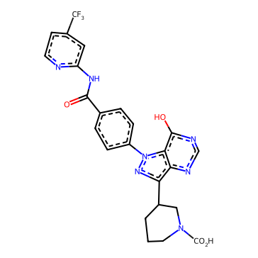 O=C(Nc1cc(C(F)(F)F)ccn1)c1ccc(-n2nc(C3CCCN(C(=O)O)C3)c3ncnc(O)c32)cc1